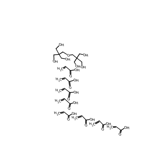 C=CC(=O)O.C=CC(=O)O.C=CC(=O)O.C=CC(=O)O.C=CC(=O)O.C=CC(=O)O.C=CC(=O)O.C=CC(=O)O.OCC(CO)(CO)COCC(CO)(CO)CO